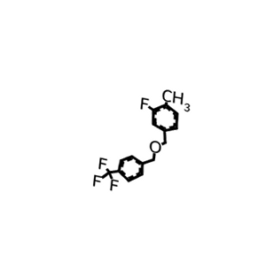 Cc1ccc(COCc2ccc(C(F)(F)F)cc2)cc1F